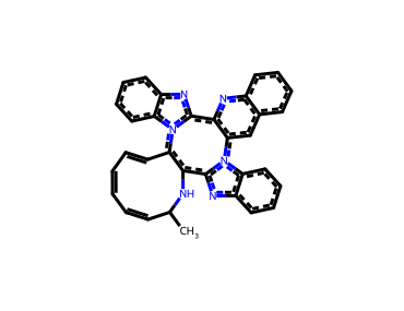 CC1\C=C/C=C\C=C\c2c(c3nc4ccccc4n3c3cc4ccccc4nc3c3nc4ccccc4n23)N1